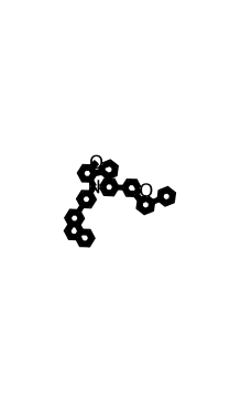 c1ccc(-c2cccc3c2oc2ccc(-c4ccc(N(c5ccc(-c6ccc7ccc8ccccc8c7c6)cc5)c5cccc6oc7ccccc7c56)cc4)cc23)cc1